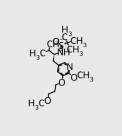 COCCCOc1cc(C[C@H](N[S@+]([O-])C(C)(C)C)C(C)C)cnc1OC